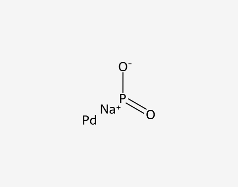 O=P[O-].[Na+].[Pd]